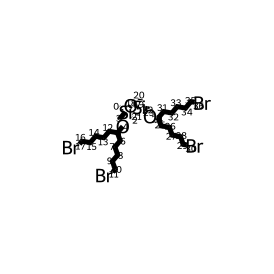 C[Si](C)(COC(CCCCCBr)CCCCCBr)O[Si](C)(C)COC(CCCCCBr)CCCCCBr